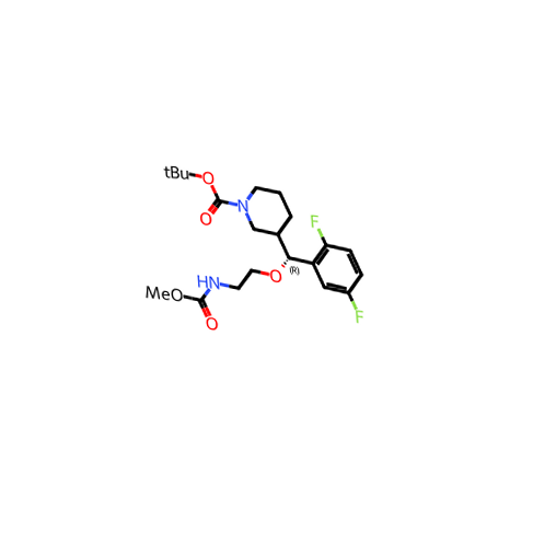 COC(=O)NCCO[C@@H](c1cc(F)ccc1F)C1CCCN(C(=O)OC(C)(C)C)C1